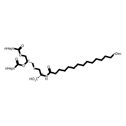 CCCCCCCCCCCCCCCCCCCCCCCC(=O)N[C@@H](CSC[C@@H](COC(=O)CCCCCCC)OC(=O)CCCCCCC)C(=O)O